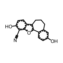 N#Cc1c(O)ccc2c3c(oc12)-c1ccc(O)cc1CCC3